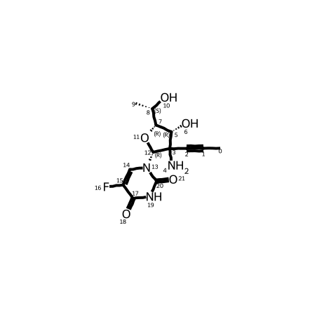 CC#CC1(N)[C@@H](O)[C@@H]([C@H](C)O)O[C@H]1n1cc(F)c(=O)[nH]c1=O